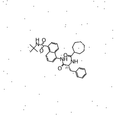 CC(C)(C)NS(=O)(=O)c1cccc2c(NC(=O)[C@H](Cc3ccccc3)NC(=O)C3CCCCCC3)cccc12